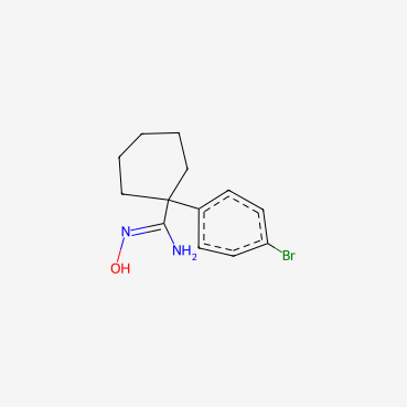 N/C(=N\O)C1(c2ccc(Br)cc2)CCCCC1